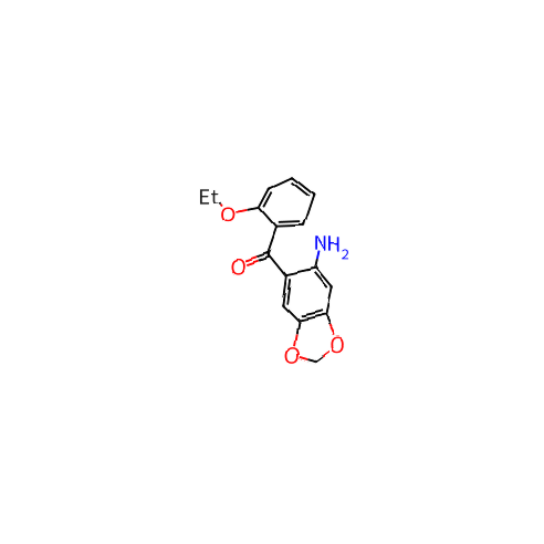 CCOc1ccccc1C(=O)c1cc2c(cc1N)OCO2